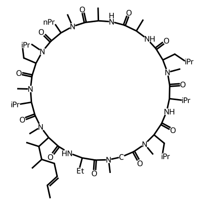 C/C=C/CC(C)C(C)C1C(=O)NC(CC)C(=O)N(C)CC(=O)N(C)C(CC(C)C)C(=O)NC(C(C)C)C(=O)N(C)C(CC(C)C)C(=O)NC(C)C(=O)NC(C)C(=O)N(C)C(CCC)C(=O)N(C)C(CC(C)C)C(=O)N(C)C(C(C)C)C(=O)N1C